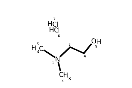 CN(C)CCO.Cl.Cl